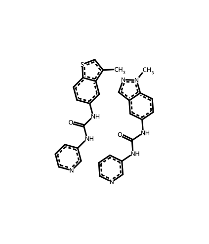 Cc1csc2ccc(NC(=O)Nc3cccnc3)cc12.Cn1ncc2cc(NC(=O)Nc3cccnc3)ccc21